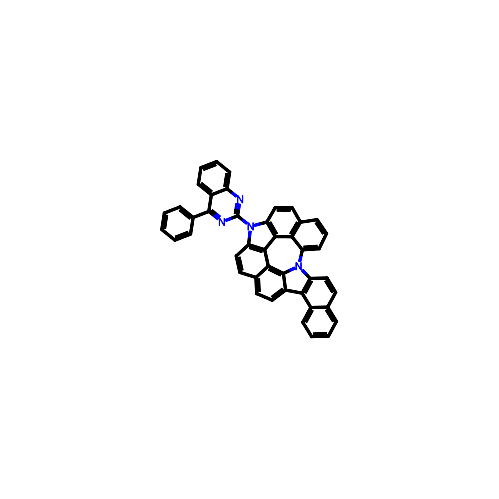 c1ccc(-c2nc(-n3c4ccc5cccc6c5c4c4c5c(ccc7c8c9ccccc9ccc8n6c75)ccc43)nc3ccccc23)cc1